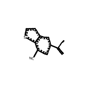 C=C(C)c1cc(C#N)c2sccc2c1